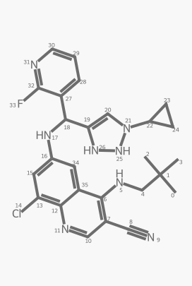 CC(C)(C)CNc1c(C#N)cnc2c(Cl)cc(NC(C3=CN(C4CC4)NN3)c3cccnc3F)cc12